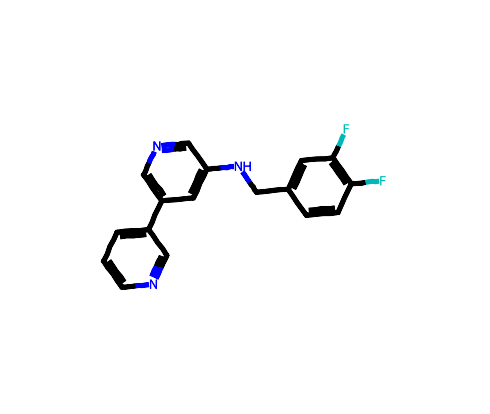 Fc1ccc(CNc2cncc(-c3cccnc3)c2)cc1F